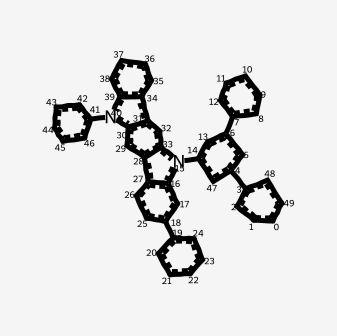 c1ccc(-c2cc(-c3ccccc3)cc(-n3c4cc(-c5ccccc5)ccc4c4cc5c(cc43)c3ccccc3n5-c3ccccc3)c2)cc1